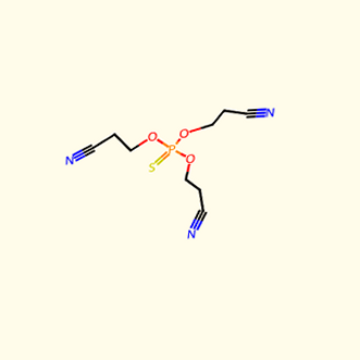 N#CCCOP(=S)(OCCC#N)OCCC#N